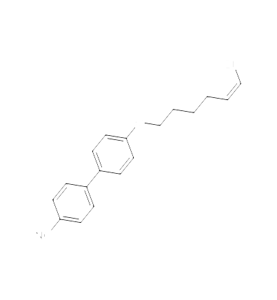 CC/C=C\CCCCOc1ccc(-c2ccc(C#N)cc2)cc1